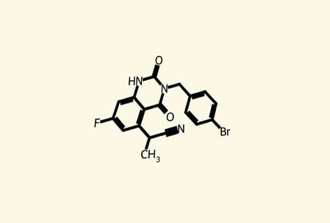 CC(C#N)c1cc(F)cc2[nH]c(=O)n(Cc3ccc(Br)cc3)c(=O)c12